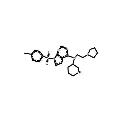 Cc1ccc(S(=O)(=O)n2ccc3c(N(CCN4CCCC4)C4CCCNC4)ncnc32)cc1